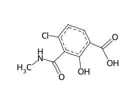 CNC(=O)c1c(Cl)ccc(C(=O)O)c1O